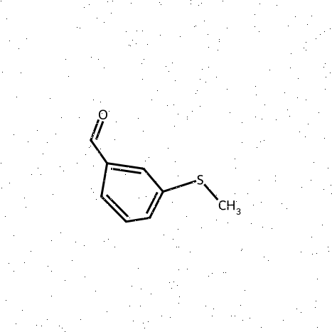 CSc1cccc(C=O)c1